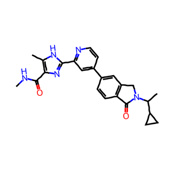 CNC(=O)c1nc(-c2cc(-c3ccc4c(c3)CN(C(C)C3CC3)C4=O)ccn2)[nH]c1C